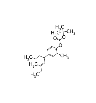 CCCC(/C=C(\C)CC)c1ccc(OC(=O)OC(C)(C)C)c(C)c1